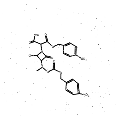 CC(OC(=O)OCc1ccc([N+](=O)[O-])cc1)C1C(=O)N(C(C(=O)OCc2ccc([N+](=O)[O-])cc2)C(=O)C(C)(C)C)C1Cl